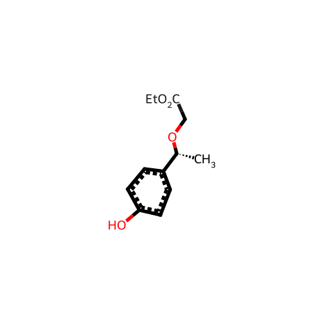 CCOC(=O)CO[C@H](C)c1ccc(O)cc1